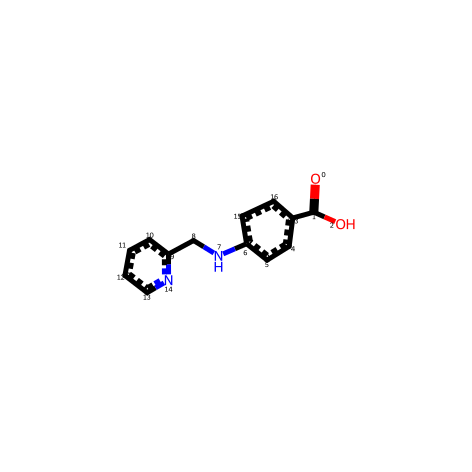 O=C(O)c1ccc(NCc2ccccn2)cc1